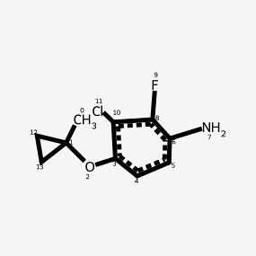 CC1(Oc2ccc(N)c(F)c2Cl)CC1